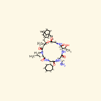 CCC[C@H]1C(=O)N[C@@H](C2CCCCCC2)C(=O)N[C@@H](CN)C(=O)N[C@@H]([C@H](C)O)C(=O)NCC(=O)O[C@H](C[C@H]2C[C@@H]3CC[C@@H](C3)C2)[C@@H](C)C(=O)N1C